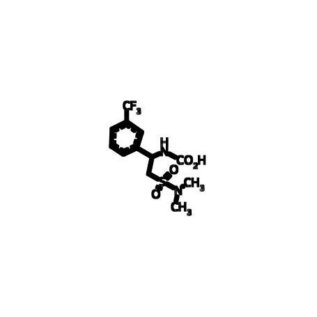 CN(C)S(=O)(=O)CC(NC(=O)O)c1cccc(C(F)(F)F)c1